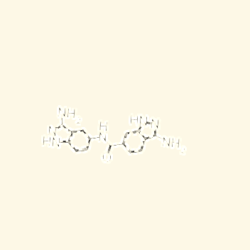 Nc1n[nH]c2cc(C(=O)Nc3ccc4[nH]nc(N)c4c3)ccc12